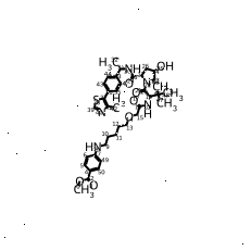 COC(=O)c1ccc(NCCCCCOCC(=O)N[C@H](C(=O)N2C[C@H](O)C[C@H]2C(=O)N[C@@H](C)c2ccc(-c3scnc3C)cc2)C(C)(C)C)cc1